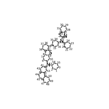 c1ccc(N(c2ccc3c(c2)sc2c(-c4ccc(N(c5ccccc5)c5nc6ccccc6s5)cc4)cccc23)c2ccc3ccc4ccccc4c3c2)cc1